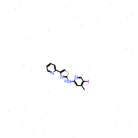 Cc1cc(Nc2nc(-c3ccccn3)cs2)ncc1I